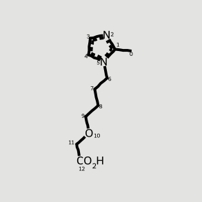 Cc1nccn1CCCCOCC(=O)O